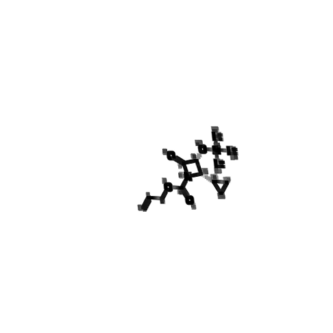 C=CCOC(=O)N1C(=O)[C@H](O[Si](CC)(CC)CC)[C@@H]1C1CC1